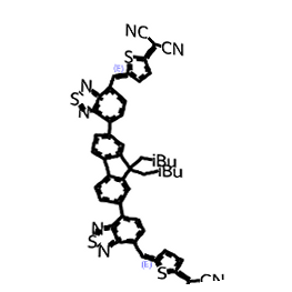 CCC(C)CC1(CC(C)CC)c2cc(-c3ccc(/C=c4\ccc(=C(C#N)C#N)s4)c4nsnc34)ccc2-c2ccc(-c3ccc(/C=c4\ccc(=C(C#N)C#N)s4)c4nsnc34)cc21